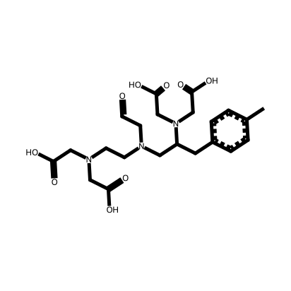 Cc1ccc(CC(CN(CC=O)CCN(CC(=O)O)CC(=O)O)N(CC(=O)O)CC(=O)O)cc1